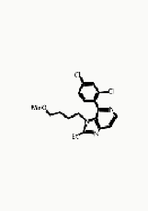 CCc1nc2ccnc(-c3ccc(Cl)cc3Cl)c2n1CCCCOC